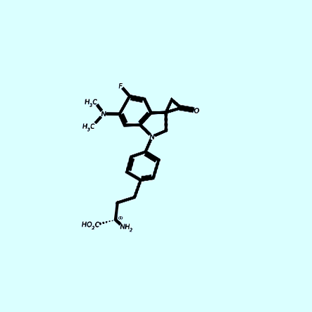 CN(C)c1cc2c(cc1F)C1(CC1=O)CN2c1ccc(CC[C@H](N)C(=O)O)cc1